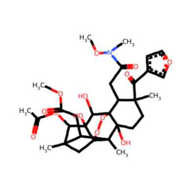 COC(=O)CC1C2(C)CC34OOC5(C(CC(=O)N(C)OC)C(C)(C(=O)c6ccoc6)CCC5(O)C13C)C(O)C4(O)C2OC(C)=O